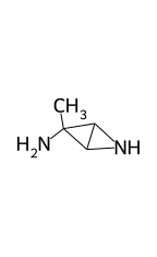 CC1(N)C2NC21